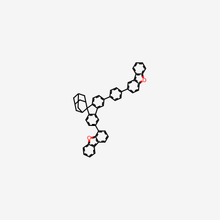 c1ccc2c(c1)oc1ccc(-c3ccc(-c4ccc5c(c4)-c4cc(-c6cccc7c6oc6ccccc67)ccc4C54C5CC6CC(C5)CC4C6)cc3)cc12